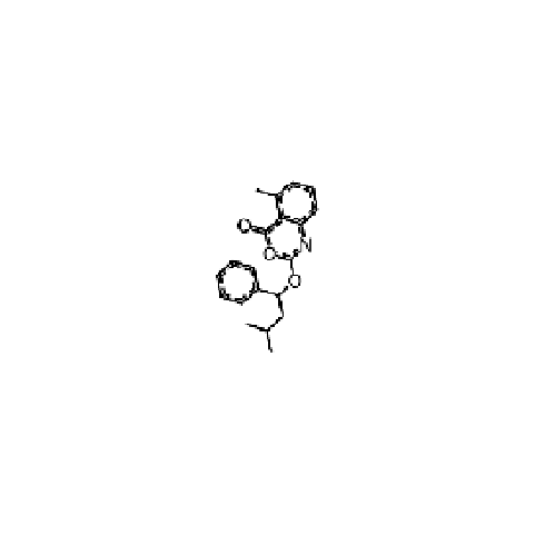 Cc1cccc2nc(OC(CC(C)C)c3ccccc3)oc(=O)c12